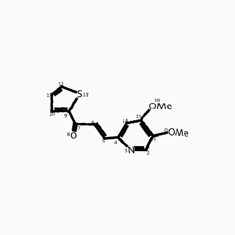 COc1cnc(C=CC(=O)c2cccs2)cc1OC